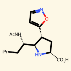 CC(=O)N[C@@H](CC(C)C)[C@@H]1N[C@@H](C(=O)O)C[C@H]1c1ccno1